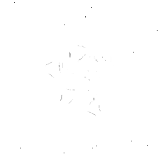 CC(C)[C@@H](N(C(=O)C1(C(N)=O)CC1)[C@H](C(C)C)C(O)(Cc1ccccc1)Cc1ccccc1)C(O)(Cc1ccccc1)Cc1ccccc1